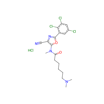 CN(C)CCCCCC(=O)N(C)c1oc(-c2cc(Cl)cc(Cl)c2Cl)nc1C#N.Cl